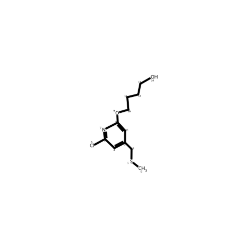 CSCc1cc(Cl)nc(OCCCCO)c1